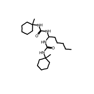 CCCCCC(NC(=O)NC1(C)CCCCC1)NC(=O)NC1(C)CCCCC1